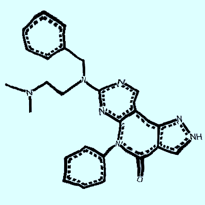 CN(C)CCN(Cc1ccccc1)c1ncc2c3n[nH]cc3c(=O)n(-c3ccccc3)c2n1